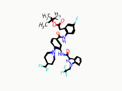 CC(C)(C)OC(=O)Cc1cc(F)ccc1NC(=O)c1ccc(N2CCC(C(F)F)CC2)c(NC(=O)c2nn(CC(F)(F)F)c3ccccc23)c1